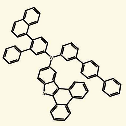 c1ccc(-c2ccc(-c3cccc(N(c4ccc(-c5cccc6ccccc56)c(-c5ccccc5)c4)c4ccc5sc6c7ccccc7c7ccccc7c6c5c4)c3)cc2)cc1